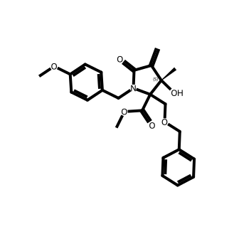 C=C1C(=O)N(Cc2ccc(OC)cc2)C(COCc2ccccc2)(C(=O)OC)[C@@]1(C)O